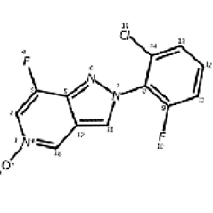 [O-][n+]1cc(F)c2nn(-c3c(F)cccc3Cl)cc2c1